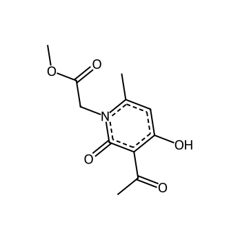 COC(=O)Cn1c(C)cc(O)c(C(C)=O)c1=O